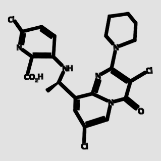 C[C@@H](Nc1ccc(Cl)nc1C(=O)O)c1cc(Cl)cn2c(=O)c(Cl)c(N3CCCCC3)nc12